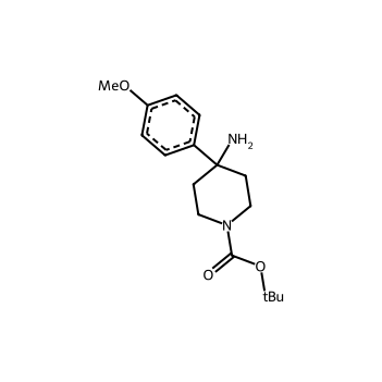 COc1ccc(C2(N)CCN(C(=O)OC(C)(C)C)CC2)cc1